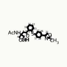 CC(=O)NC(CO)(CO)CC(O)c1ccccc1Sc1ccc(-c2coc(C)n2)cc1